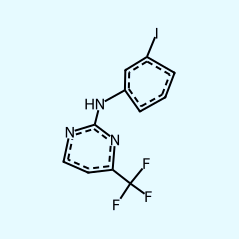 FC(F)(F)c1ccnc(Nc2cccc(I)c2)n1